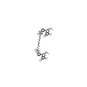 CN1Cc2c(Cl)cc(Cl)cc2C(c2cccc(S(=O)(=O)NCCOCCOCCOCCNS(=O)(=O)c3cccc(C4CN(C)Cc5c(Cl)cc(Cl)cc54)c3)c2)C1